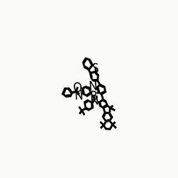 CC(C)(C)c1ccc(N2B3c4cc5nc(-c6ccccc6)oc5cc4-n4c5cc6c(cc5c5ccc(c3c54)-c3cc4c(cc32)-c2cc3c(cc2C4(C)C)C(C)(C)CCC3(C)C)sc2ccccc26)cc1